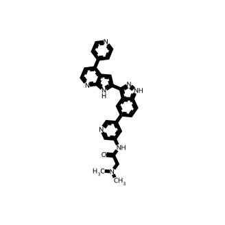 CN(C)CC(=O)Nc1cncc(-c2ccc3[nH]nc(-c4cc5c(-c6ccncc6)ccnc5[nH]4)c3c2)c1